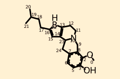 COc1c(O)ccc2c1CN1CCC3=C(C=C(CCC(C)C)B3)C1C2